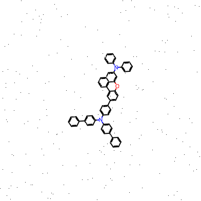 c1ccc(-c2ccc(N(c3ccc(-c4ccccc4)cc3)c3ccc(-c4ccc5c(c4)-c4cccc6cc(N(c7ccccc7)c7ccccc7)cc(c46)O5)cc3)cc2)cc1